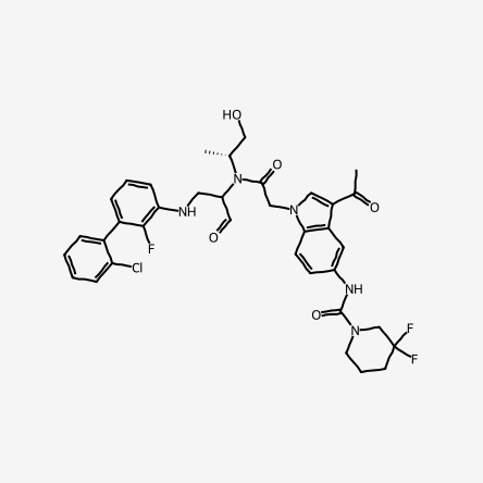 CC(=O)c1cn(CC(=O)N(C(C=O)CNc2cccc(-c3ccccc3Cl)c2F)[C@H](C)CO)c2ccc(NC(=O)N3CCCC(F)(F)C3)cc12